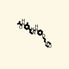 Cc1cc(-c2ccnc(Nc3ccc(OCCCN4CCOCC4)cc3)n2)ccc1NC(=O)C(C)C